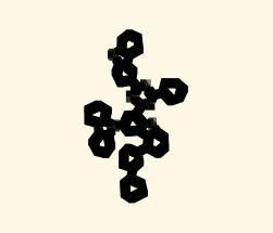 c1ccc(-c2cccc(-c3cccc4sc5c(-c6nc(-c7ccccc7)nc(-c7ccc8oc9ccccc9c8c7)n6)cc(-n6c7ccccc7c7ccccc76)cc5c34)c2)cc1